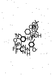 COc1cc(CP(=O)(O)O)ccc1Nc1ncc(C(F)(F)F)c(Nc2ccc([C@H]3CC[C@H](OP(=O)(OC(C)(C)C)OC(C)(C)C)CC3)c3c2C(=O)N(C)C3)n1